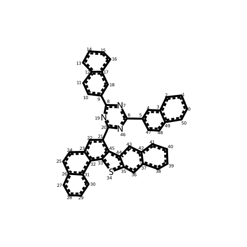 c1ccc2cc(-c3nc(-c4ccc5ccccc5c4)nc(-c4cc5ccc6ccccc6c5c5sc6cc7ccccc7cc6c45)n3)ccc2c1